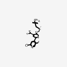 C[C@H](COc1cnc(-c2cc(Cl)ncc2F)cc1C(F)F)CC(C)(C)N